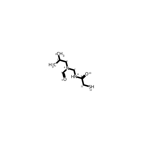 CC(C)CN(C=O)CNC(=O)CS